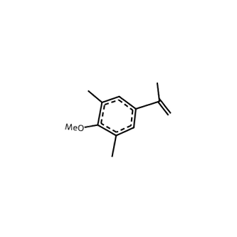 C=C(C)c1cc(C)c(OC)c(C)c1